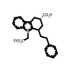 CCOC(=O)Cn1c2c(c3ccccc31)C[C@H](C(=O)O)CC2CCc1ccccc1